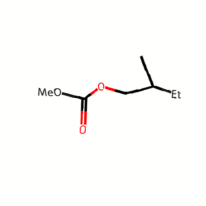 [CH2]OC(=O)OCC(C)CC